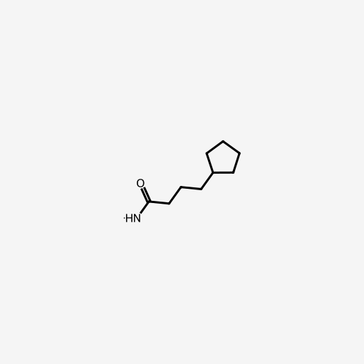 [NH]C(=O)CCCC1CCCC1